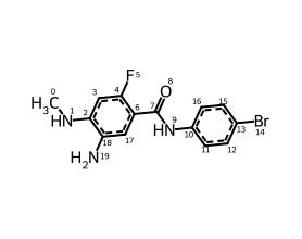 CNc1cc(F)c(C(=O)Nc2ccc(Br)cc2)cc1N